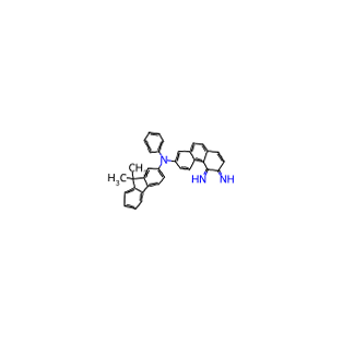 CC1(C)c2ccccc2-c2ccc(N(c3ccccc3)c3ccc4c5c(ccc4c3)C=CC(=N)C5=N)cc21